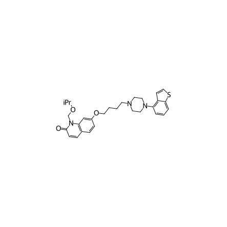 CC(C)OCn1c(=O)ccc2ccc(OCCCCN3CCN(c4cccc5sccc45)CC3)cc21